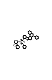 C1=c2oc3ccccc3c2=C(c2nc(-c3ccccc3)nc(-c3cccc4c3sc3ccc5c(-c6ccccc6)nc6ccccc6c5c34)n2)CC1